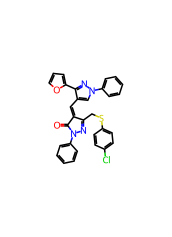 O=C1/C(=C/c2cn(-c3ccccc3)nc2-c2ccco2)C(CSc2ccc(Cl)cc2)=NN1c1ccccc1